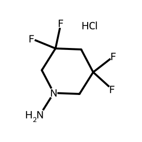 Cl.NN1CC(F)(F)CC(F)(F)C1